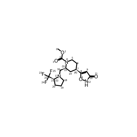 COC(=O)N1CC[C@@H](c2cc(=O)[nH]o2)C[C@H]1CN1CCC[C@H]1C(F)(F)F